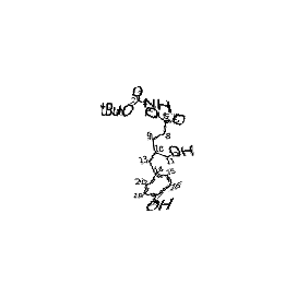 CC(C)(C)OC(=O)NOC(=O)CCC(CO)Cc1ccc(O)cc1